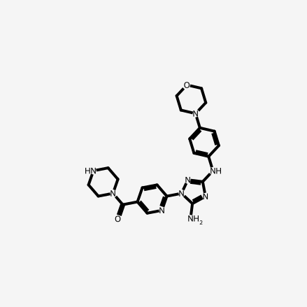 Nc1nc(Nc2ccc(N3CCOCC3)cc2)nn1-c1ccc(C(=O)N2CCNCC2)cn1